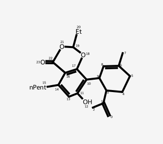 C=C(C)C1CCC(C)=CC1c1c(O)cc(CCCCC)c2c1OC(CC)OC2=O